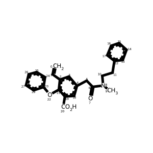 C=Cc1cc(CC(=O)N(C)CCc2ccccc2)cc(C(=O)O)c1Oc1ccccc1